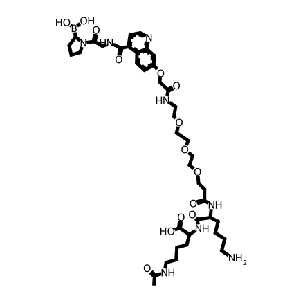 CC(=O)NCCCCC(NC(=O)C(CCCCN)NC(=O)CCOCCOCCOCCNC(=O)COc1ccc2c(C(=O)NCC(=O)N3CCCC3B(O)O)ccnc2c1)C(=O)O